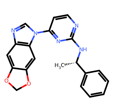 C[C@H](Nc1nccc(-n2cnc3cc4c(cc32)OCO4)n1)c1ccccc1